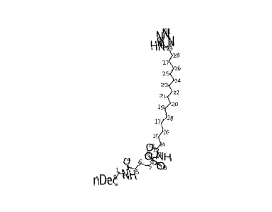 CCCCCCCCCCCNC(=O)CCCS(=O)(=O)NC(=O)CCCCCCCCCCCCCCCc1nnn[nH]1